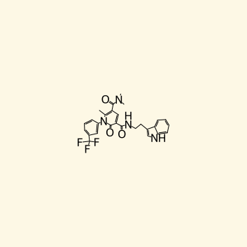 Cc1c(C(=O)N(C)C)cc(C(=O)NCCc2c[nH]c3ccccc23)c(=O)n1-c1cccc(C(F)(F)F)c1